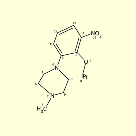 CC(C)Oc1c(N2CCN(C)CC2)cccc1[N+](=O)[O-]